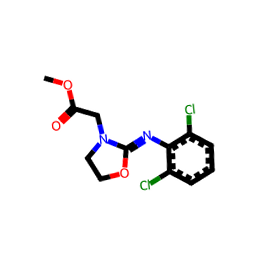 COC(=O)CN1CCOC1=Nc1c(Cl)cccc1Cl